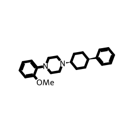 COc1ccccc1N1CCN([C@H]2CC[C@H](c3ccccc3)CC2)CC1